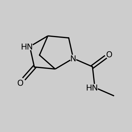 CNC(=O)N1CC2CC1C(=O)N2